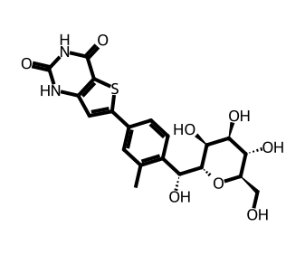 Cc1cc(-c2cc3[nH]c(=O)[nH]c(=O)c3s2)ccc1[C@@H](O)[C@H]1O[C@H](CO)[C@@H](O)[C@H](O)[C@@H]1O